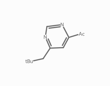 CC(=O)c1cc(CC(C)(C)C)ncn1